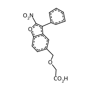 O=C(O)COCc1ccc2oc([N+](=O)[O-])c(-c3ccccc3)c2c1